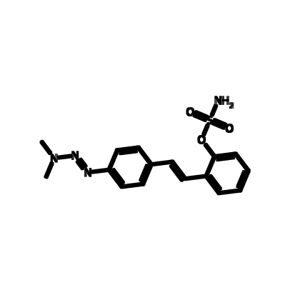 CN(C)N=Nc1ccc(C=Cc2ccccc2OS(N)(=O)=O)cc1